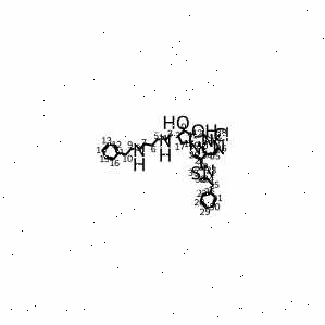 O[C@@H]1[C@@H](CNCCCNCCc2ccccc2)C[C@@H](n2cc(-c3nc(Cc4ccccc4)cs3)c3cnc(Cl)nc32)[C@@H]1O